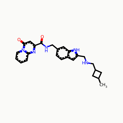 CC1CC(CNCc2cc3ccc(CNC(=O)c4cc(=O)n5ccccc5n4)cc3[nH]2)C1